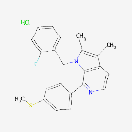 CSc1ccc(-c2nccc3c(C)c(C)n(Cc4ccccc4F)c23)cc1.Cl